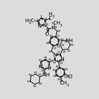 Cc1cc(C)n(C(=O)N(C)Cc2ccc(Cn3c(C4CCNCC4)nc(-c4ccc(C)c(Cl)c4)c3-c3ccnc(NC4CCCCC4)n3)cc2)n1